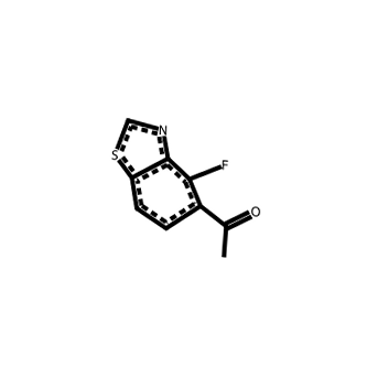 CC(=O)c1ccc2scnc2c1F